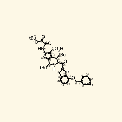 CC(C)(C)OC(=O)C(=O)Nc1sc2c(c1C(=O)O)C(C(C)(C)C)C(C(=O)N1Cc3cccc(OCc4ccccc4)c3C1)NC2C(C)(C)C